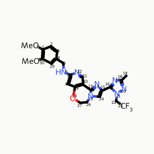 COc1ccc(CNc2cc3c(cn2)-c2nc(-c4nc(C)nn4CC(F)(F)F)cn2CCO3)cc1OC